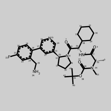 C[C@@H](C(=O)N[C@H](C(=O)N1CCC[C@H]1c1cncc(-c2ccc(F)cc2CN)c1)C1CCCCC1)N(C)C(=O)OC(C)(C)C